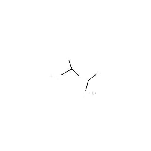 CCC(C(C)=O)C(=O)O.CCOC(=O)CC(C)=O